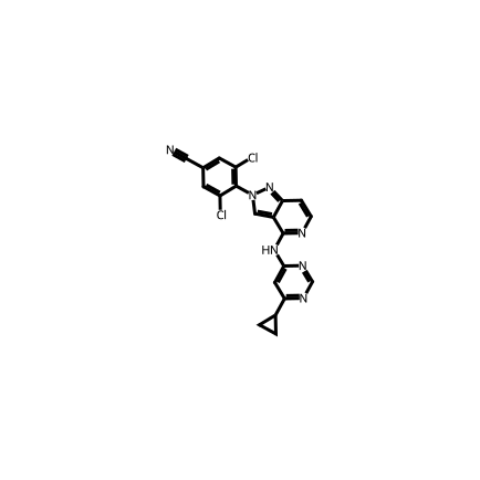 N#Cc1cc(Cl)c(-n2cc3c(Nc4cc(C5CC5)ncn4)nccc3n2)c(Cl)c1